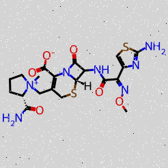 CO/N=C(\C(=O)NC1C(=O)N2C(C(=O)[O-])=C(C[N+]3(C)CCC[C@H]3C(N)=O)CS[C@@H]12)c1csc(N)n1